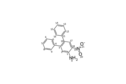 Nc1cc(-c2ccccc2)c(-c2ccccc2)cc1[N+](=O)[O-]